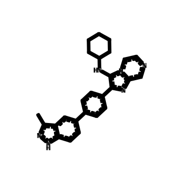 Cc1n[nH]c2ccc(-c3ccc(-c4nc5cnccn5c4NC4CCCCC4)cc3)cc12